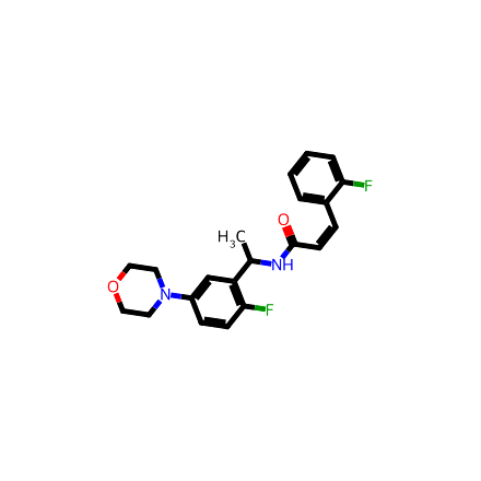 CC(NC(=O)/C=C\c1ccccc1F)c1cc(N2CCOCC2)ccc1F